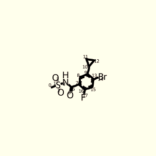 CS(=O)(=O)NC(=O)c1cc(C2CC2)c(Br)cc1F